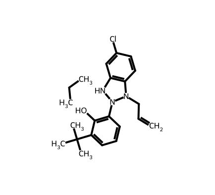 C=CCN1c2ccc(Cl)cc2NN1c1cccc(C(C)(C)C)c1O.CCC